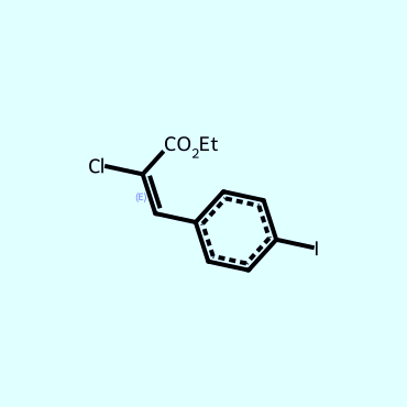 CCOC(=O)/C(Cl)=C\c1ccc(I)cc1